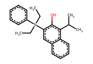 CC[Si](CC)(c1ccccc1)c1cc2ccccc2c(C(C)C)c1O